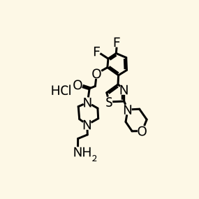 Cl.NCCN1CCN(C(=O)COc2c(-c3csc(N4CCOCC4)n3)ccc(F)c2F)CC1